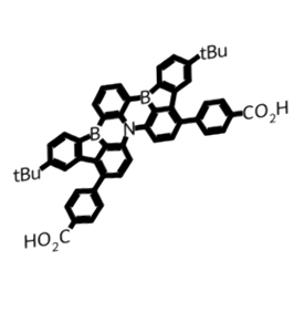 CC(C)(C)c1ccc2c(c1)-c1c(-c3ccc(C(=O)O)cc3)ccc3c1B2c1cccc2c1N3c1ccc(-c3ccc(C(=O)O)cc3)c3c1B2c1ccc(C(C)(C)C)cc1-3